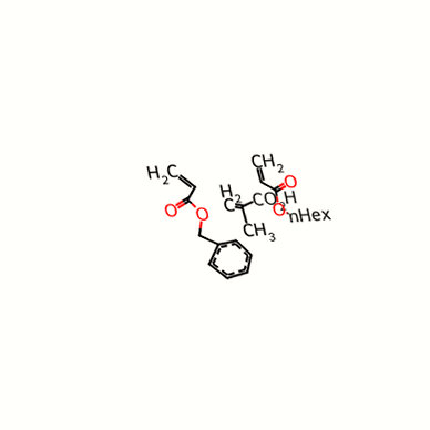 C=C(C)C(=O)O.C=CC(=O)OCCCCCC.C=CC(=O)OCc1ccccc1